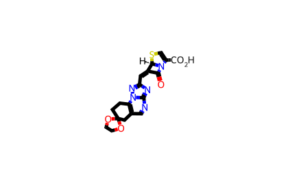 O=C(O)C1=CS[C@@H]2C(=Cc3nc4ncc5c(n4n3)CCC3(C5)OCCO3)C(=O)N12